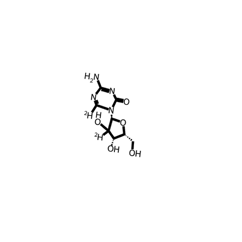 [2H]c1nc(N)nc(=O)n1[C@@H]1O[C@H](CO)[C@H](O)C1([2H])O